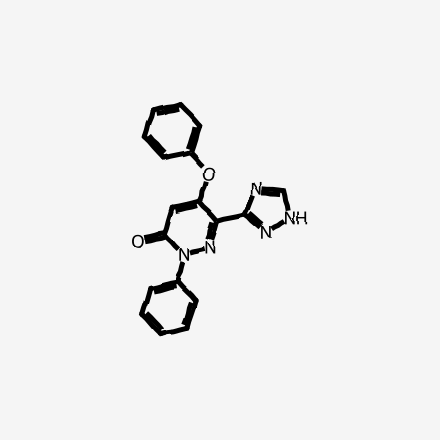 O=c1cc(Oc2ccccc2)c(-c2nc[nH]n2)nn1-c1ccccc1